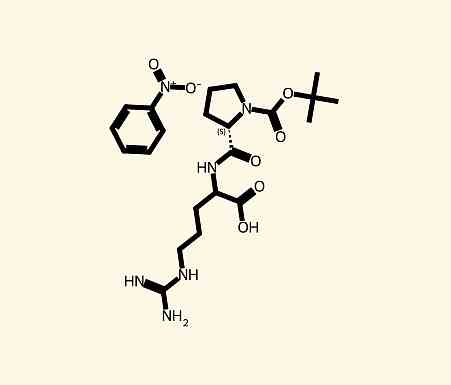 CC(C)(C)OC(=O)N1CCC[C@H]1C(=O)NC(CCCNC(=N)N)C(=O)O.O=[N+]([O-])c1ccccc1